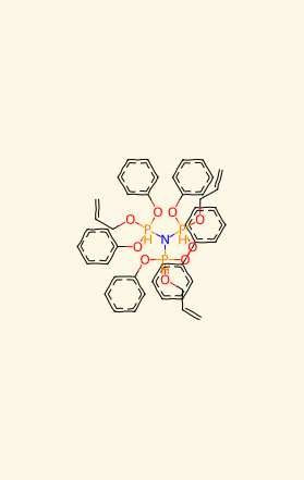 C=CCO[PH](Oc1ccccc1)(Oc1ccccc1)N([PH](OCC=C)(Oc1ccccc1)Oc1ccccc1)[PH](OCC=C)(Oc1ccccc1)Oc1ccccc1